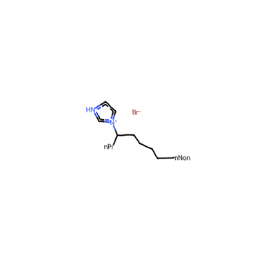 CCCCCCCCCCCCCC(CCC)[n+]1cc[nH]c1.[Br-]